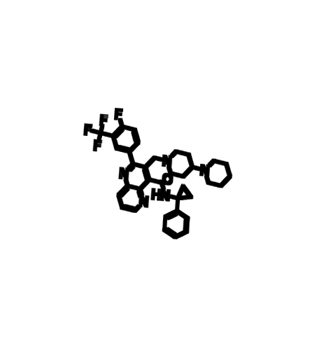 O=C(NC1(c2ccccc2)CC1)c1c(CN2CCC(N3CCCCC3)CC2)c(-c2ccc(F)c(C(F)(F)F)c2)nc2cccnc12